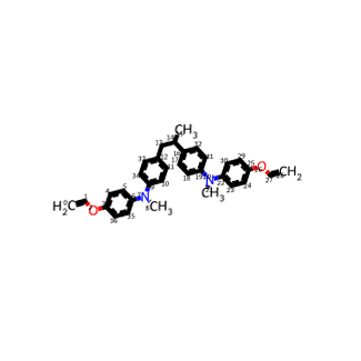 C=COc1ccc(N(C)c2ccc(CC(C)c3ccc(N(C)c4ccc(OC=C)cc4)cc3)cc2)cc1